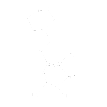 Cc1cc(CCN2CCOCC2)c(C(F)(F)F)c(F)c1C